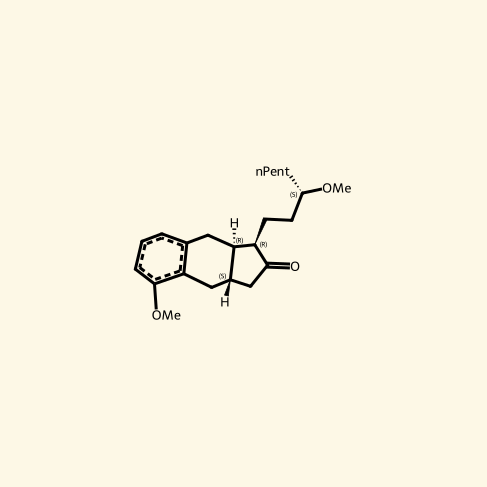 CCCCC[C@@H](CC[C@H]1C(=O)C[C@@H]2Cc3c(cccc3OC)C[C@H]21)OC